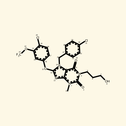 Cn1c(=O)n(CCCO)c(=O)c2c1nc(Oc1ccc(Cl)c(OC(F)(F)F)c1)n2Cc1ccc(Cl)cc1